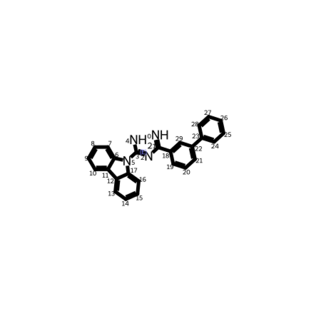 N=C(/N=C(\N)n1c2ccccc2c2ccccc21)c1cccc(-c2ccccc2)c1